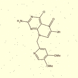 COc1cnc(Cn2cc(C(C)C)c(=O)c3c(Cl)nc(N)nc32)cc1OC